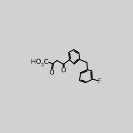 O=C(O)C(=O)CC(=O)c1cccc(Cc2cccc(F)c2)c1